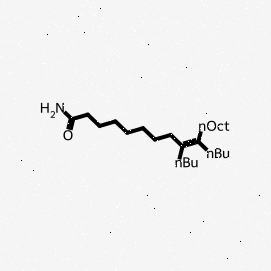 CCCCCCCC/C(CCCC)=C(/CCCC)CCCCCCCC(N)=O